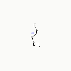 B/N=P/F